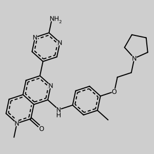 Cc1cc(Nc2nc(-c3cnc(N)nc3)cc3ccn(C)c(=O)c23)ccc1OCCN1CCCC1